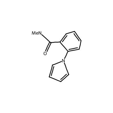 [CH2]NC(=O)c1ccccc1-n1cccc1